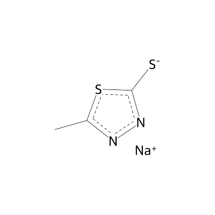 Cc1nnc([S-])s1.[Na+]